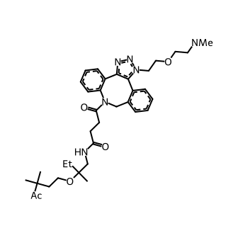 CCC(C)(CNC(=O)CCC(=O)N1Cc2ccccc2-c2c(nnn2CCOCCNC)-c2ccccc21)OCCC(C)(C)C(C)=O